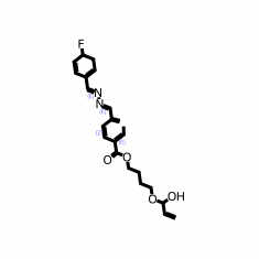 C=CC(O)OCCCCOC(=O)C(/C=C\C(=C)/C=N/N=C/C1=CCC(F)C=C1)=C/C